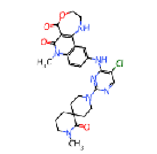 CN1CCCC2(CCN(c3ncc(Cl)c(Nc4ccc5c(c4)c4c(c(=O)n5C)C(=O)OCCN4)n3)CC2)C1=O